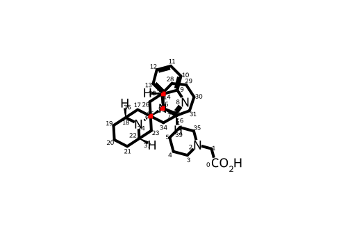 O=C(O)CN1CCC[C@H](c2nc3ccccc3n2[C@@H]2C[C@H]3CCC[C@@H](C2)N3[C@@H]2C[C@@H]3CCCC[C@@H](C3)C2)C1